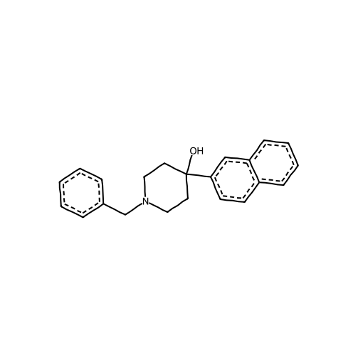 OC1(c2ccc3ccccc3c2)CCN(Cc2ccccc2)CC1